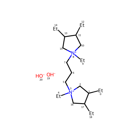 CCC1C[N+](CC)(CCC[N+]2(CC)CC(CC)C(CC)C2)CC1CC.[OH-].[OH-]